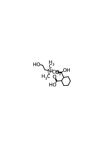 C[N+](C)(C)CCO.O=C(O)C1CCCCC1C(=O)O